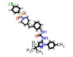 Cc1ccc(-n2nc(C(C)(C)C)cc2NC(=O)Nc2cccc(CC3CCN(S(=O)(=O)c4ccc(Cl)cc4)CC3)c2)cc1